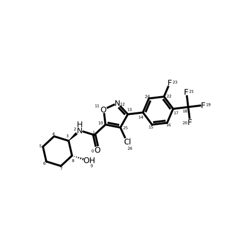 O=C(N[C@@H]1CCCC[C@H]1O)c1onc(-c2ccc(C(F)(F)F)c(F)c2)c1Cl